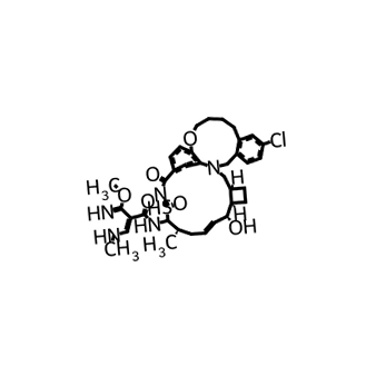 CN/C=C(\C(=N)OC)C(=O)NC1[C@@H](C)C/C=C/[C@H](O)[C@@H]2CC[C@H]2CN2Cc3ccc(Cl)cc3CCCCOc3ccc(cc32)C(=O)/N=[SH]/1=O